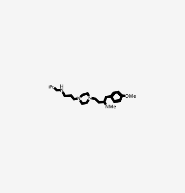 CNC(CCN1CCN(CCCNCC(C)C)CC1)Cc1ccc(OC)cc1